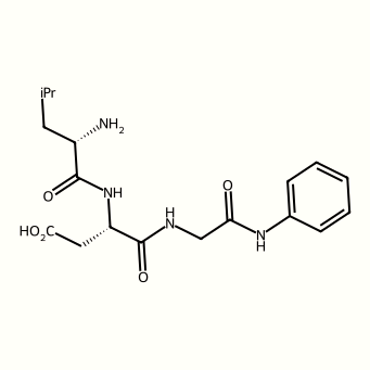 CC(C)C[C@H](N)C(=O)N[C@@H](CC(=O)O)C(=O)NCC(=O)Nc1ccccc1